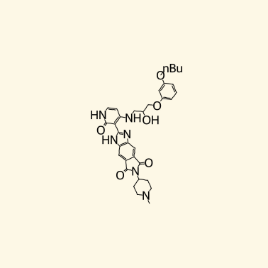 CCCCOc1cccc(OCC(O)CNc2cc[nH]c(=O)c2-c2nc3cc4c(cc3[nH]2)C(=O)N(C2CCN(C)CC2)C4=O)c1